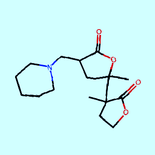 CC1(C2(C)CCOC2=O)CC(CN2CCCCC2)C(=O)O1